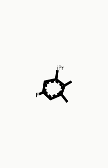 Cc1cc(F)cc(C(C)C)c1C